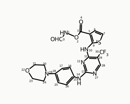 O=CNOC(=O)c1ccsc1Nc1nc(Nc2ccc(N3CCOCC3)cc2)ncc1C(F)(F)F